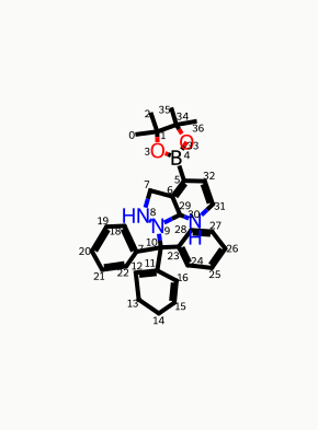 CC1(C)OB(C2=C3CNN(C(C4=CCCC=C4)(c4ccccc4)c4ccccc4)C3NC=C2)OC1(C)C